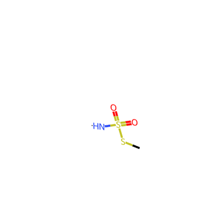 CSS([NH])(=O)=O